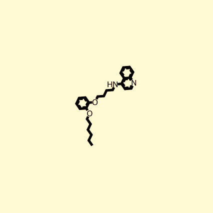 CCCCCCOc1ccccc1OCCCCNc1ccnc2ccccc12